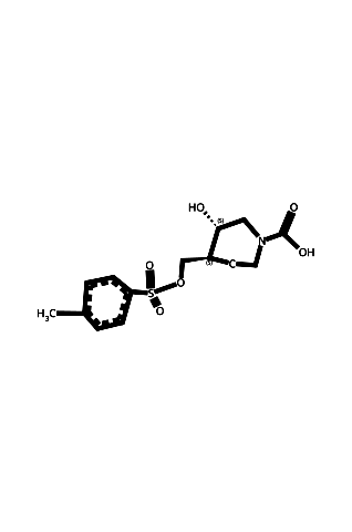 Cc1ccc(S(=O)(=O)OC[C@@H]2CCN(C(=O)O)C[C@H]2O)cc1